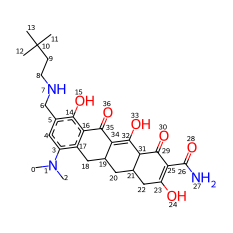 CN(C)c1cc(CNCCC(C)(C)C)c(O)c2c1CC1CC3CC(O)=C(C(N)=O)C(=O)C3C(O)=C1C2=O